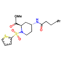 COC(=O)[C@H]1C[C@H](NC(=O)CCC(C)C)CCN1S(=O)(=O)c1cccs1